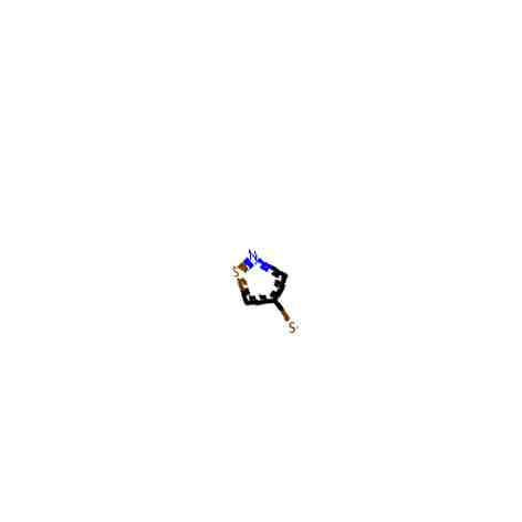 [S]c1cnsc1